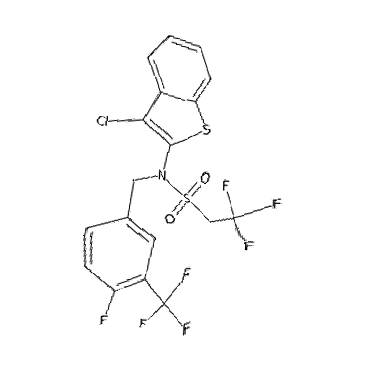 O=S(=O)(CC(F)(F)F)N(Cc1ccc(F)c(C(F)(F)F)c1)c1sc2ccccc2c1Cl